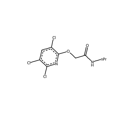 CCCNC(=O)COc1nc(Cl)c(Cl)cc1Cl